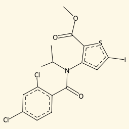 COC(=O)c1sc(I)cc1N(C(=O)c1ccc(Cl)cc1Cl)C(C)C